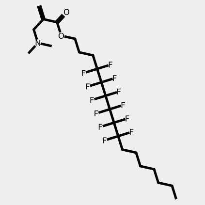 C=C(CN(C)C)C(=O)OCCCC(F)(F)C(F)(F)C(F)(F)C(F)(F)C(F)(F)C(F)(F)CCCCCCC